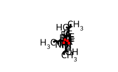 CCC(N)COC12C(F)(F)C3(F)C(F)(F)C(OCC(O)CC)(C1(F)F)C(F)(F)C(OCC(O)CC)(C3(F)F)C2(F)F